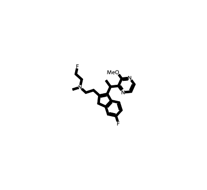 COc1nccnc1C(C)C1=C(CCN(C)CCF)Cc2cc(F)ccc21